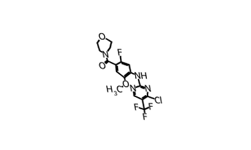 COc1cc(C(=O)N2CCOCC2)c(F)cc1Nc1ncc(C(F)(F)F)c(Cl)n1